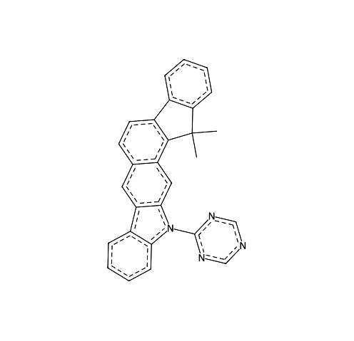 CC1(C)c2ccccc2-c2ccc3cc4c5ccccc5n(-c5ncncn5)c4cc3c21